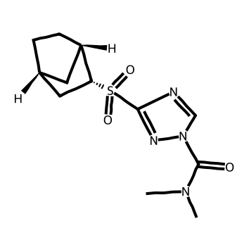 CN(C)C(=O)n1cnc(S(=O)(=O)[C@@H]2C[C@@H]3CC[C@H]2C3)n1